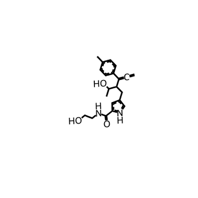 C=C=C(c1ccc(C)cc1)C(Cc1c[nH]c(C(=O)NCCO)c1)C(C)O